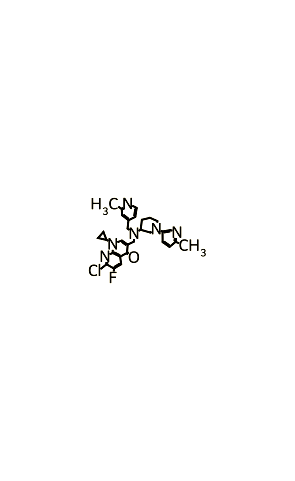 Cc1ccc(N2CCCC(N(Cc3ccnc(C)c3)Cc3cn(C4CC4)c4nc(Cl)c(F)cc4c3=O)C2)cn1